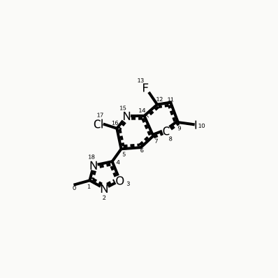 Cc1noc(-c2cc3cc(I)cc(F)c3nc2Cl)n1